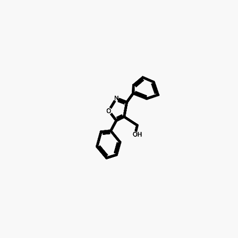 OCc1c(-c2ccccc2)noc1-c1ccccc1